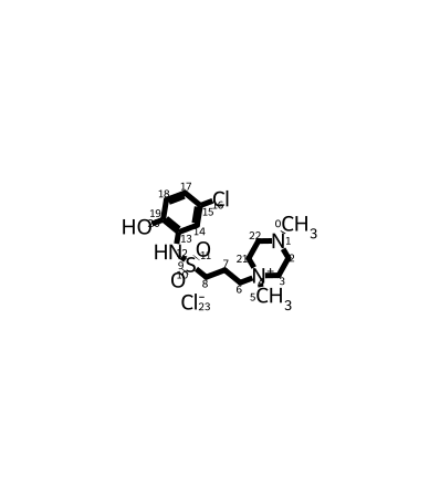 CN1CC[N+](C)(CCCS(=O)(=O)Nc2cc(Cl)ccc2O)CC1.[Cl-]